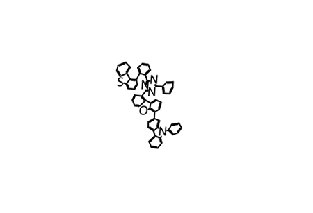 c1ccc(-c2nc(-c3ccccc3-c3cccc4sc5ccccc5c34)nc(-c3cccc4oc5c(-c6ccc7c8ccccc8n(-c8ccccc8)c7c6)cccc5c34)n2)cc1